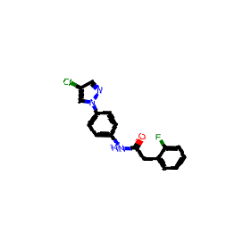 O=C(Cc1ccccc1F)Nc1ccc(-n2cc(Cl)cn2)cc1